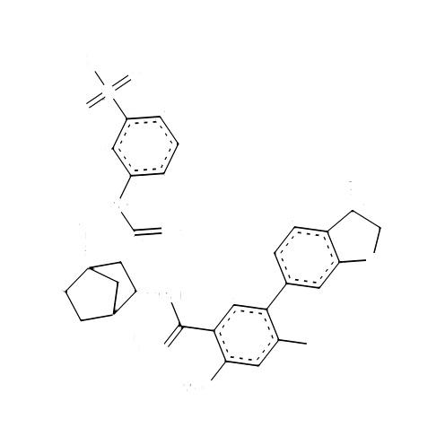 COc1cc(F)c(-c2ccc3c(c2)OC[C@H]3C)cc1C(=O)N[C@@H]1[C@H]2CC[C@H](C2)[C@@H]1C(=O)Nc1cccc(S(=O)(=O)C(F)(F)F)c1